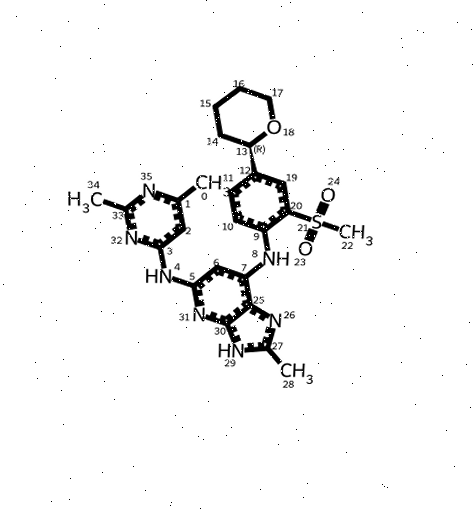 Cc1cc(Nc2cc(Nc3ccc([C@H]4CCCCO4)cc3S(C)(=O)=O)c3nc(C)[nH]c3n2)nc(C)n1